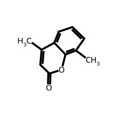 Cc1cc(=O)oc2c(C)cccc12